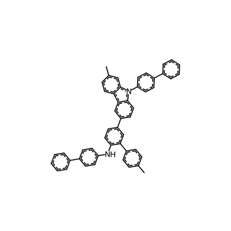 Cc1ccc(-c2cc(-c3ccc4c(c3)c3ccc(C)cc3n4-c3ccc(-c4ccccc4)cc3)ccc2Nc2ccc(-c3ccccc3)cc2)cc1